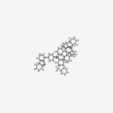 CC1(C)c2ccccc2-c2ccc(N(c3ccc(-c4cccc5c4sc4ccccc45)cc3)c3cccc4c3-c3ccccc3C43c4ccccc4-n4c5ccccc5c5cccc3c54)cc21